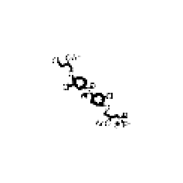 CCS(=O)(=O)CC(COc1ccc(S(=O)(=O)c2ccc(OCC(CCl)OC(C)=O)c(Cl)c2)cc1Cl)OC(C)=O